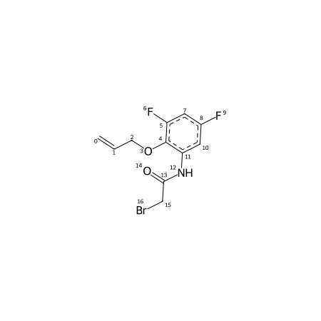 C=CCOc1c(F)cc(F)cc1NC(=O)CBr